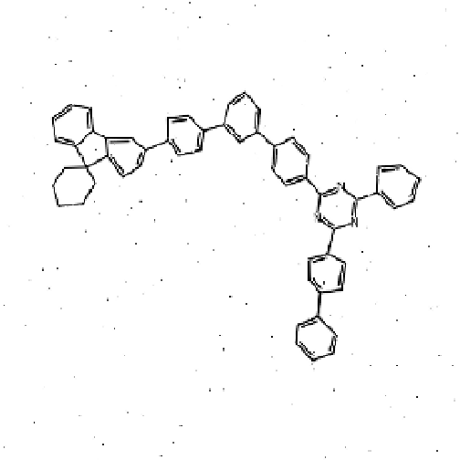 c1ccc(-c2ccc(-c3nc(-c4ccccc4)nc(-c4ccc(-c5cccc(-c6ccc(-c7ccc8c(c7)-c7ccccc7C87CCCCC7)cc6)c5)cc4)n3)cc2)cc1